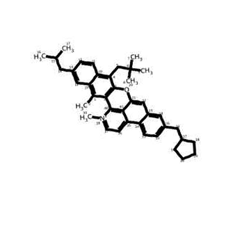 Cc1c2c(c(CC(C)(C)C)c3ccc(CC(C)C)cc13)Oc1cc3cc(CC4CCCC4)ccc3c3cc[n+](C)c-2c13